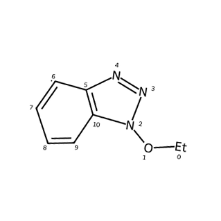 CCOn1nnc2[c]cccc21